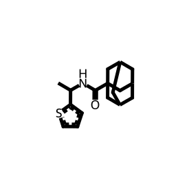 CC(NC(=O)C12CC3CC(CC(C3)C1)C2)c1cccs1